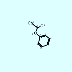 CCC([O])Oc1ccccc1